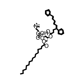 CCCCCCCCCCCCCCCC(=O)OC[C@H](CO[P+]([O-])(O)OCC[N+](C)(C)C)OC(=O)CC\C(=C/C=C/C=C/c1ccccc1)c1ccccc1